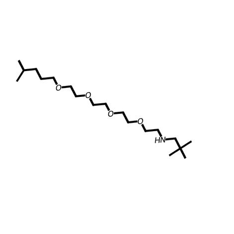 CC(C)CCCOCCOCCOCCOCCNCC(C)(C)C